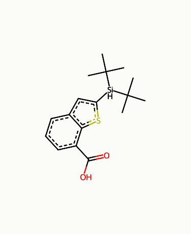 CC(C)(C)[SiH](c1cc2cccc(C(=O)O)c2s1)C(C)(C)C